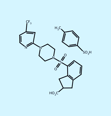 Cc1ccc(S(=O)(=O)O)cc1.O=C(O)C1Cc2cccc(S(=O)(=O)N3CCN(c4cc(C(F)(F)F)ccn4)CC3)c2C1